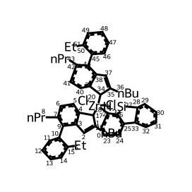 CCCCC1=Cc2c(ccc(CCC)c2-c2ccccc2CC)[CH]1[Zr]([Cl])([Cl])([c]1cccc2c1[SiH2]c1ccccc1-2)[CH]1C(CCCC)=Cc2c1ccc(CCC)c2-c1ccccc1CC